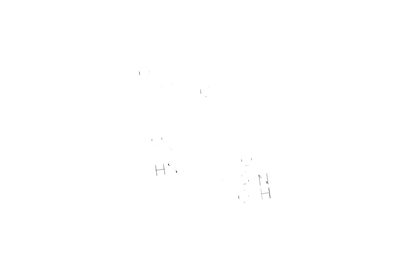 CNS(=O)(=O)c1ccc2c(c1)C(=Cc1ccc(OC)cc1OC)C(=O)N2